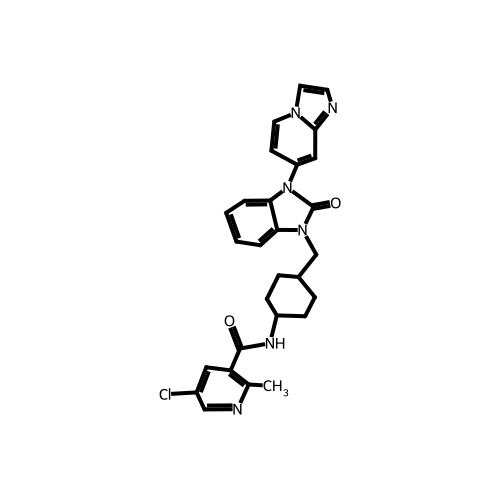 Cc1ncc(Cl)cc1C(=O)NC1CCC(Cn2c(=O)n(-c3ccn4ccnc4c3)c3ccccc32)CC1